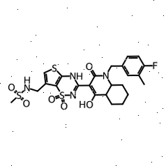 Cc1cc(CN2C(=O)C(C3=NS(=O)(=O)c4c(CNS(C)(=O)=O)csc4N3)=C(O)C3CCCCC32)ccc1F